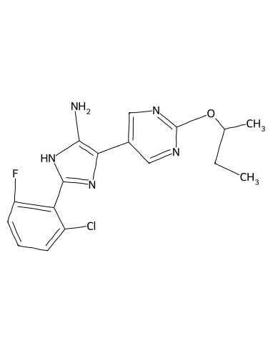 CCC(C)Oc1ncc(-c2nc(-c3c(F)cccc3Cl)[nH]c2N)cn1